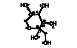 OC[C@@]1(O)OC[C@@H](O)C(O)[C@H]1O